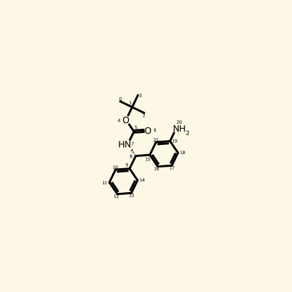 CC(C)(C)OC(=O)N[C@@H](c1ccccc1)c1cccc(N)c1